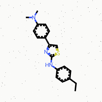 CCc1ccc(Nc2nc(-c3ccc(N(C)C)cc3)cs2)cc1